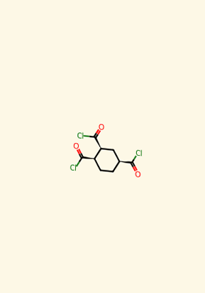 O=C(Cl)[C@H]1CC[C@@H](C(=O)Cl)[C@@H](C(=O)Cl)C1